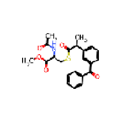 COC(=O)[C@H](CSC(=O)C(C)c1cccc(C(=O)c2ccccc2)c1)NC(C)=O